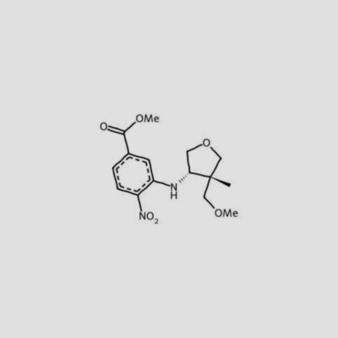 COC[C@@]1(C)COC[C@H]1Nc1cc(C(=O)OC)ccc1[N+](=O)[O-]